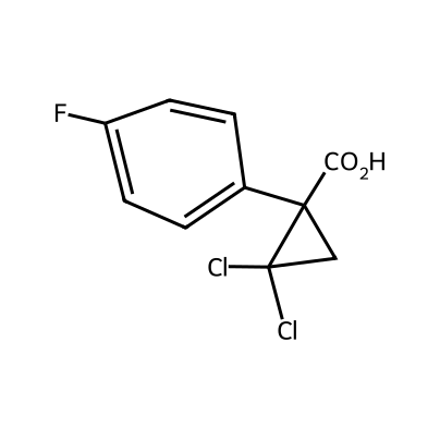 O=C(O)C1(c2ccc(F)cc2)CC1(Cl)Cl